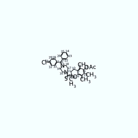 CC(=O)Oc1c(C)c(C)c2c(c1C)CCC(C)(C(=S)N1CCN(C(c3ccccc3)c3ccc(Cl)cc3)CC1)O2